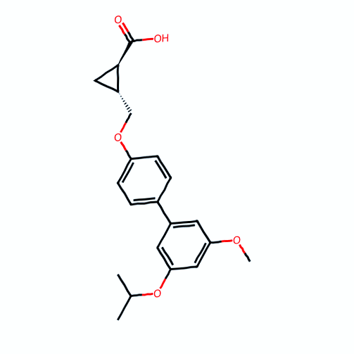 COc1cc(OC(C)C)cc(-c2ccc(OC[C@@H]3C[C@H]3C(=O)O)cc2)c1